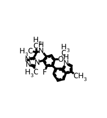 COc1cc2c(c(F)c1-c1cccc3c(C)c[nH]c13)-n1c(C)nnc1C(C)(C)N2